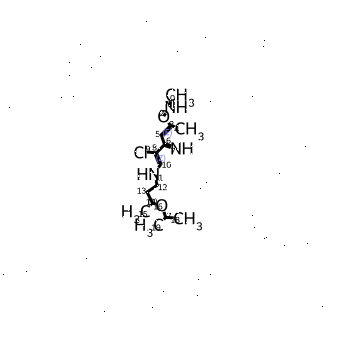 CNO/C(C)=C/C(=N)/C(Cl)=C/NCC[C@H](C)OC(C)C